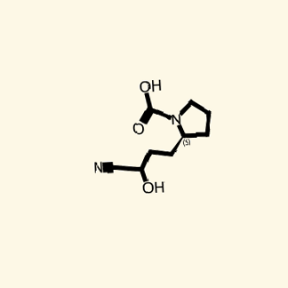 N#CC(O)CC[C@@H]1CCCN1C(=O)O